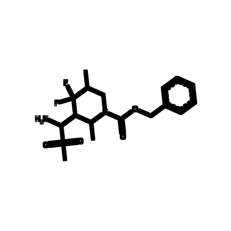 CC1C(C(N)S(C)(=O)=O)C(F)(F)C(C)CN1C(=O)OCc1ccccc1